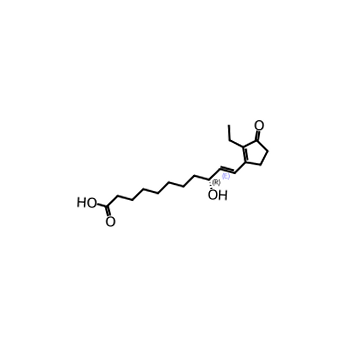 CCC1=C(/C=C/[C@H](O)CCCCCCCC(=O)O)CCC1=O